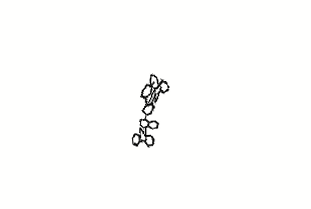 c1ccc2c(c1)Oc1cccc3c4cc(-c5ccc(-n6c7ccccc7c7ccccc76)c6ccccc56)ccc4n-2c13